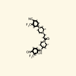 N#Cc1ccc(N2CCN(CCC(=O)N3CCC(Nc4ccc(N=O)c(C(F)(F)F)c4)CC3)CC2)cc1C(F)(F)F